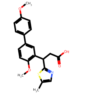 COc1ccc(-c2ccc(OC)c(C(CC(=O)O)c3ncc(C)s3)c2)cc1